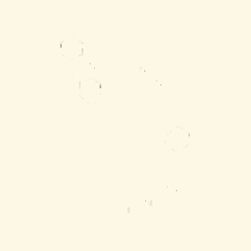 CC(C)NC[C@H](O)COc1ccc(OCCN2CCN(CCCN3c4ccccc4Sc4ccc(Cl)cc43)CC2)cc1